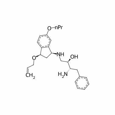 C=CCO[C@@H]1C[C@H](NC[C@@H](O)[C@@H](N)Cc2ccccc2)c2cc(OCCC)ccc21